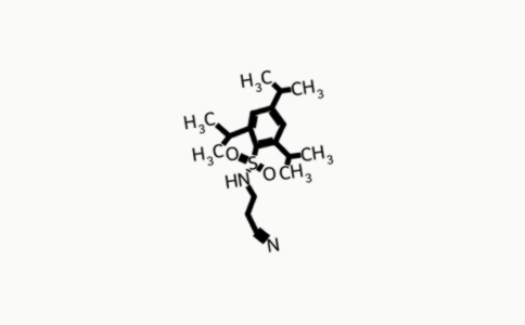 CC(C)c1cc(C(C)C)c(S(=O)(=O)NCCC#N)c(C(C)C)c1